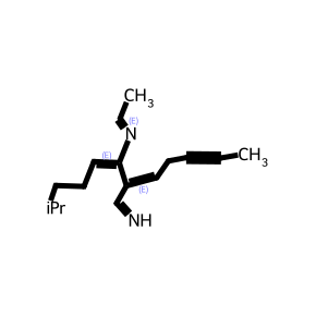 CC#CC\C=C(C=N)/C(=C\CCC(C)C)/N=C/C